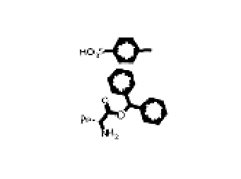 CC(C)[C@@H](N)C(=O)OC(c1ccccc1)c1ccccc1.Cc1ccc(S(=O)(=O)O)cc1